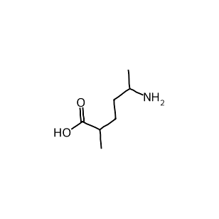 CC(N)CCC(C)C(=O)O